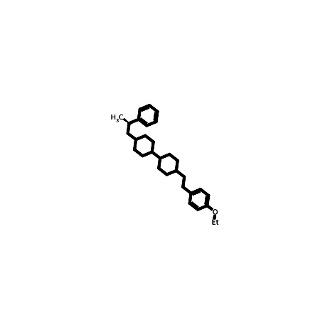 CCOc1ccc(CCC2CCC(C3CCC(C[C@@H](C)c4ccccc4)CC3)CC2)cc1